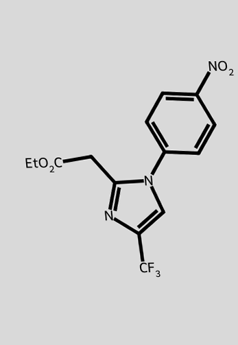 CCOC(=O)Cc1nc(C(F)(F)F)cn1-c1ccc([N+](=O)[O-])cc1